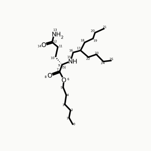 CCCCCCOC(=O)[C@H](CCC(N)=O)NCC(CCCC)CCCC